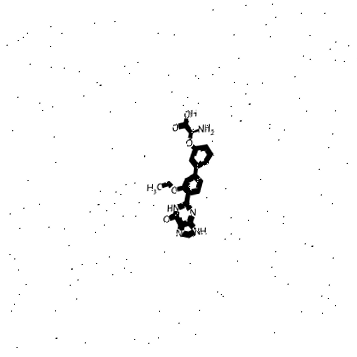 CCOc1cc(-c2cccc(O[C@H](N)C(=O)O)c2)ccc1-c1nc2[nH]cnc2c(=O)[nH]1